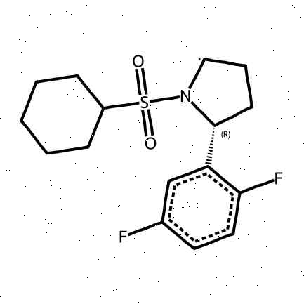 O=S(=O)(C1CCCCC1)N1[CH]CC[C@@H]1c1cc(F)ccc1F